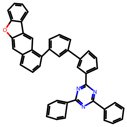 c1ccc(-c2nc(-c3ccccc3)nc(-c3cccc(-c4cccc(-c5cccc6cc7oc8ccccc8c7cc56)c4)c3)n2)cc1